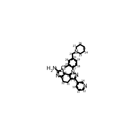 Nc1nc2c(s1)-c1c(c(-c3cccnc3)nn1-c1ccc(CN3CCCCC3)cc1Cl)CC2